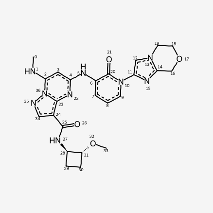 CNc1cc(Nc2cccn(-c3cn4c(n3)COCC4)c2=O)nc2c(C(=O)N[C@@H]3CC[C@H]3OC)cnn12